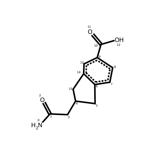 NC(=O)CC1Cc2ccc(C(=O)O)cc2C1